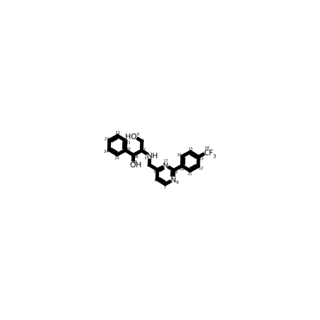 OCC(NCc1ccnc(-c2ccc(C(F)(F)F)cc2)n1)C(O)c1ccccc1